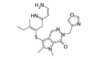 CC/C(C)=C(/CC(=N)/C=C\N)Sc1c(C)n(C)c2c(=O)n(Cc3cocn3)ncc12